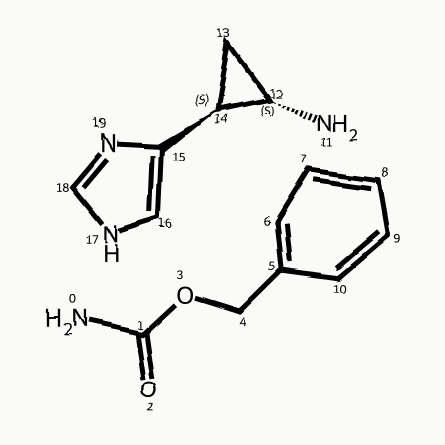 NC(=O)OCc1ccccc1.N[C@H]1C[C@@H]1c1c[nH]cn1